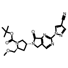 COC[C@@H]1C[C@@H](N2Cc3cnc(-n4cc(C#N)cn4)nc3C2=O)CN1C(=O)OC(C)(C)C